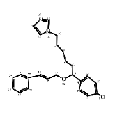 Clc1ccc(C(CCCCCn2ccnc2)OCC=Cc2ccccc2)cc1